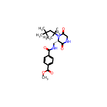 COC(=O)c1ccc(C(=O)NC[C@H]2C(=O)NCC(=O)N2C(C)(C)CC(C)(C)C)cc1